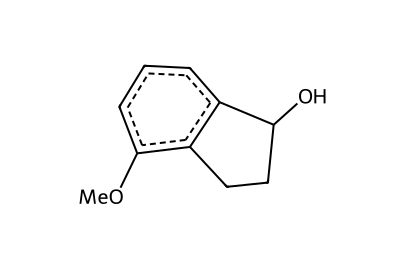 COc1cccc2c1CCC2O